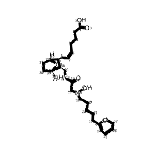 O=C(O)CCC/C=C\C[C@H]1[C@@H](CNC(=O)CN(O)CCCCCC2=CC=CCO2)[C@H]2CC[C@@H]1O2